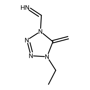 C=C1N(C=N)N=NN1CC